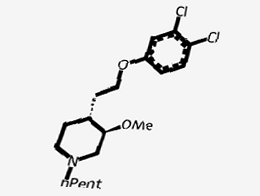 CCCCCN1CC[C@H](CCOc2ccc(Cl)c(Cl)c2)[C@@H](OC)C1